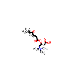 CC(C)(C)C(=O)CCC(=O)O[C@H](CC(=O)O)C[N+](C)(C)C